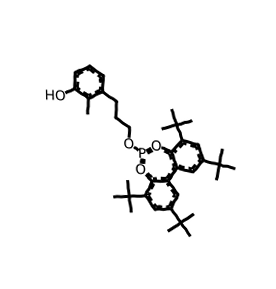 Cc1c(O)cccc1CCCOp1oc2c(C(C)(C)C)cc(C(C)(C)C)cc2c2cc(C(C)(C)C)cc(C(C)(C)C)c2o1